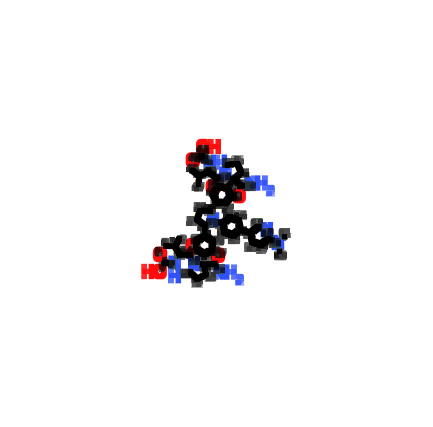 CC(C)[C@H](NC(=O)O)C(=O)N1CCC[C@@]1(C(N)=O)c1ccc(C2CC[C@H](c3ccc([C@]4(C(N)=O)CCCN4C(=O)[C@@H](NC(=O)O)C(C)C)cc3)N2c2ccc(-c3ccc(N(C)C)nc3)cc2)cc1